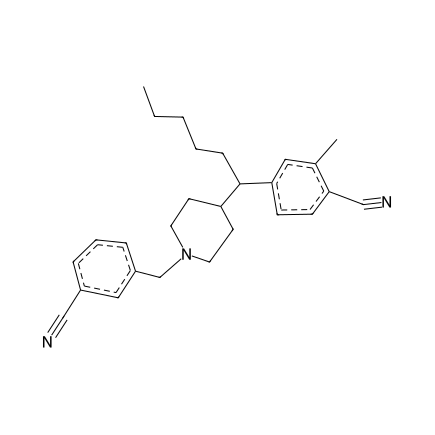 CCCCCC(c1ccc(C#N)c(C)c1)C1CCN(Cc2cccc(C#N)c2)CC1